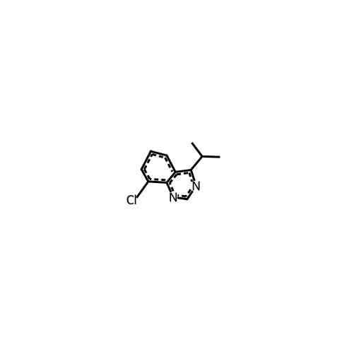 CC(C)c1ncnc2c(Cl)cccc12